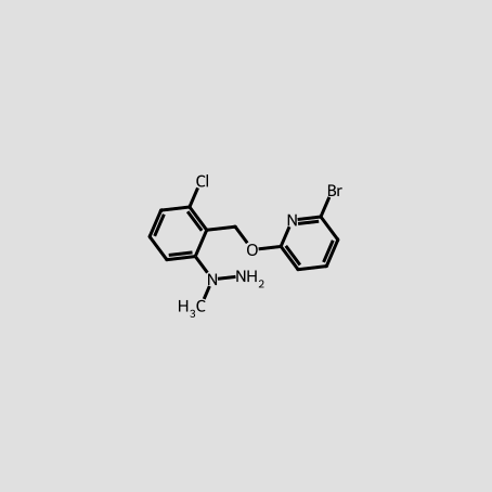 CN(N)c1cccc(Cl)c1COc1cccc(Br)n1